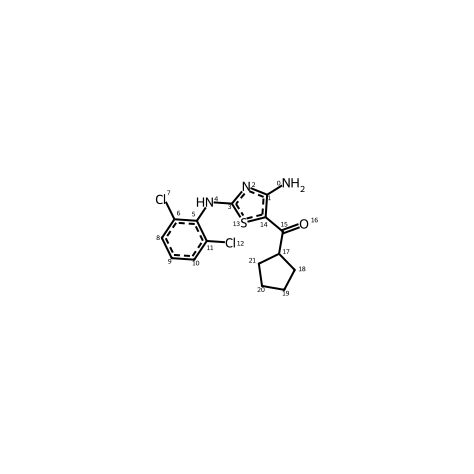 Nc1nc(Nc2c(Cl)cccc2Cl)sc1C(=O)C1CCCC1